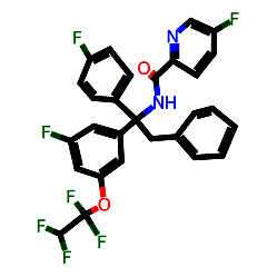 O=C(NC(Cc1ccccc1)(c1ccc(F)cc1)c1cc(F)cc(OC(F)(F)C(F)F)c1)c1ccc(F)cn1